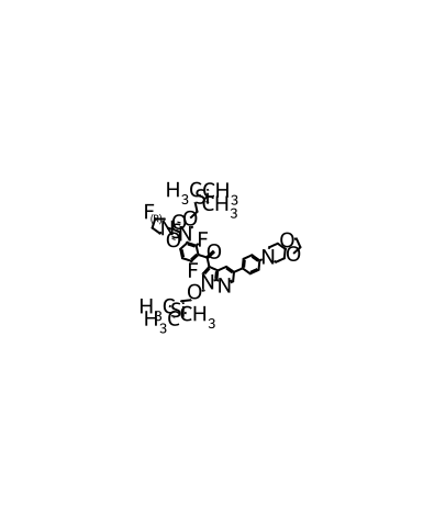 C[Si](C)(C)CCOCN(c1ccc(F)c(C(=O)c2cn(COCC[Si](C)(C)C)c3ncc(-c4ccc(N5CCC6(CC5)OCCO6)cc4)cc23)c1F)S(=O)(=O)N1CC[C@@H](F)C1